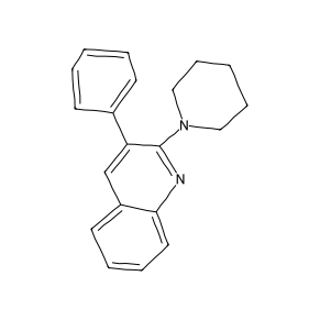 c1ccc(-c2cc3ccccc3nc2N2CCCCC2)cc1